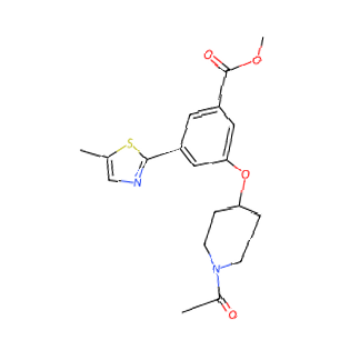 COC(=O)c1cc(OC2CCN(C(C)=O)CC2)cc(-c2ncc(C)s2)c1